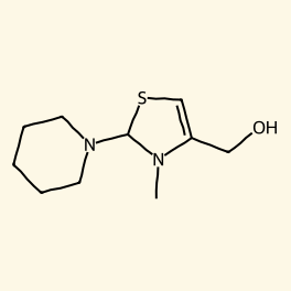 CN1C(CO)=CSC1N1CCCCC1